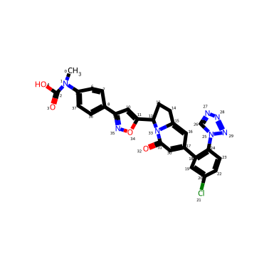 CN(C(=O)O)c1ccc(-c2cc(C3CCc4cc(-c5cc(Cl)ccc5-n5cnnn5)cc(=O)n43)on2)cc1